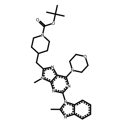 Cc1nc2ccccc2n1-c1nc(N2CCOCC2)c2nc(CC3CCN(C(=O)OC(C)(C)C)CC3)n(C)c2n1